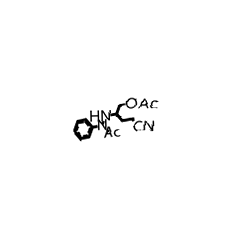 CC(=O)OCC(CCC#N)NN(C(C)=O)c1ccccc1